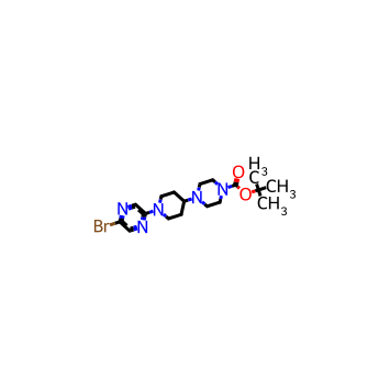 CC(C)(C)OC(=O)N1CCN(C2CCN(c3cnc(Br)cn3)CC2)CC1